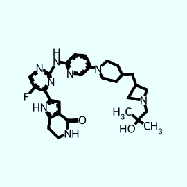 CC(C)(O)CN1CC(CC2CCN(c3ccc(Nc4ncc(F)c(-c5cc6c([nH]5)CCNC6=O)n4)nc3)CC2)C1